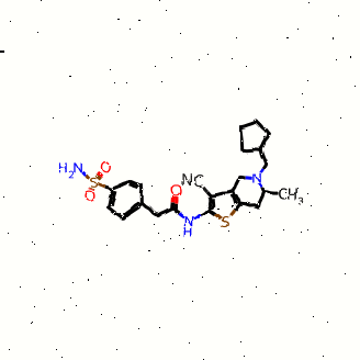 CC1Cc2sc(NC(=O)Cc3ccc(S(N)(=O)=O)cc3)c(C#N)c2CN1CC1CCCC1